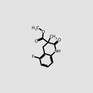 COC(=O)C1(C)Cc2c(F)cccc2NC1=O